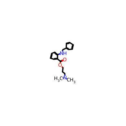 CN(C)CCCOC(=O)c1ccccc1NCc1ccccc1